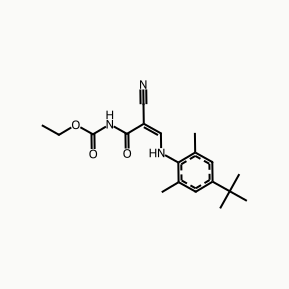 CCOC(=O)NC(=O)/C(C#N)=C\Nc1c(C)cc(C(C)(C)C)cc1C